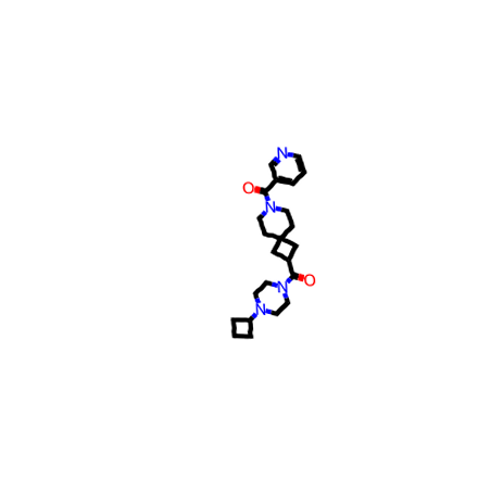 O=C(c1cccnc1)N1CCC2(CC1)CC(C(=O)N1CCN(C3CCC3)CC1)C2